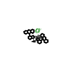 CCCCC1=Cc2c(-c3c4ccccc4cc4ccccc34)cccc2[CH]1[Hf+2]1([CH]2C(CCCC)=Cc3c(-c4c5ccccc5cc5ccccc45)cccc32)[CH2][CH2]1.[Cl-].[Cl-]